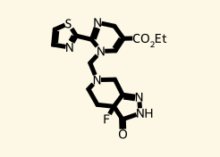 CCOC(=O)C1=CN(CN2CCC3(F)C(=O)NN=C3C2)C(c2nccs2)=NC1